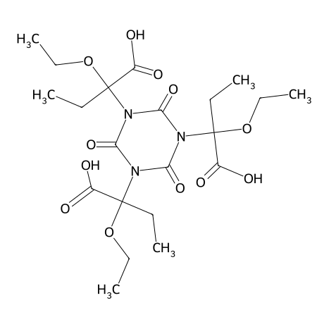 CCOC(CC)(C(=O)O)n1c(=O)n(C(CC)(OCC)C(=O)O)c(=O)n(C(CC)(OCC)C(=O)O)c1=O